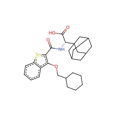 O=C(N[C@H](C(=O)O)C12CC3CC(CC(C3)C1)C2)c1sc2ccccc2c1OCC1CCCCC1